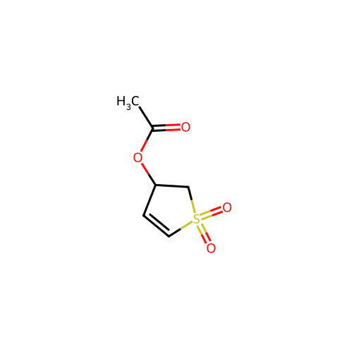 CC(=O)OC1C=CS(=O)(=O)C1